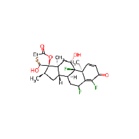 CCC(=O)O[C@]1(C(O)=S)[C@H](C)C[C@H]2[C@@H]3C[C@H](F)C4=C(F)C(=O)C=C[C@]4(C)[C@@]3(F)[C@@H](O)C[C@@]21C